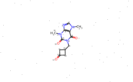 Cn1cnc2c1c(=O)n(CC1CC(=O)C1)c(=O)n2C